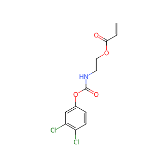 C=CC(=O)OCCNC(=O)Oc1ccc(Cl)c(Cl)c1